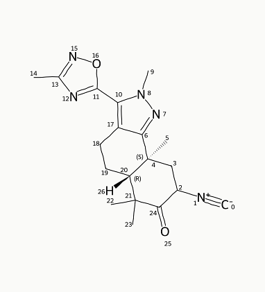 [C-]#[N+]C1C[C@]2(C)c3nn(C)c(-c4nc(C)no4)c3CC[C@H]2C(C)(C)C1=O